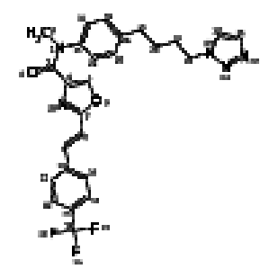 CN(C(=O)c1coc(C=Cc2ccc(C(F)(F)F)cc2)n1)c1ccc(CCCCn2ccnn2)cc1